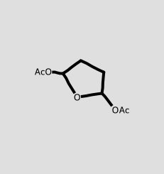 CC(=O)OC1CCC(OC(C)=O)O1